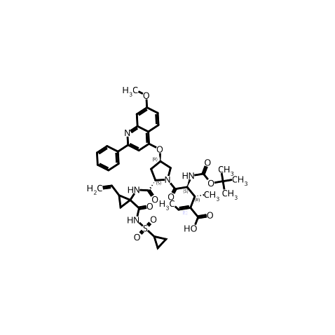 C=CC1CC1(NC(=O)[C@@H]1C[C@@H](Oc2cc(-c3ccccc3)nc3cc(OC)ccc23)CN1C(=O)[C@@H](NC(=O)OC(C)(C)C)[C@H](C)/C(=C\C)C(=O)O)C(=O)NS(=O)(=O)C1CC1